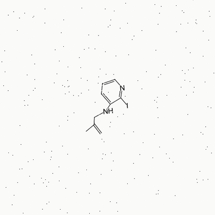 C=C(C)CNc1cccnc1I